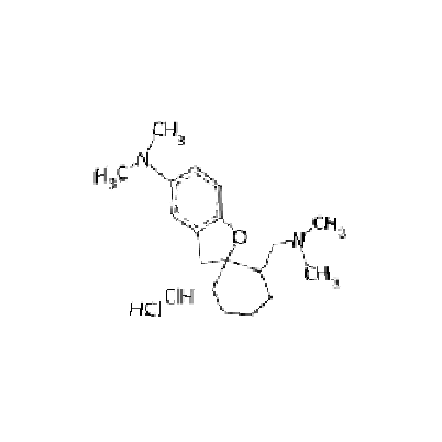 CN(C)CC1CCCCC12Cc1cc(N(C)C)ccc1O2.Cl.Cl